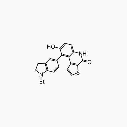 CCN1CCc2cc(-c3c(O)ccc4[nH]c(=O)c5sccc5c34)ccc21